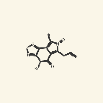 C=CCC1=C2C(=O)C(Br)c3nsnc3C2=C(Br)[N+]1=O